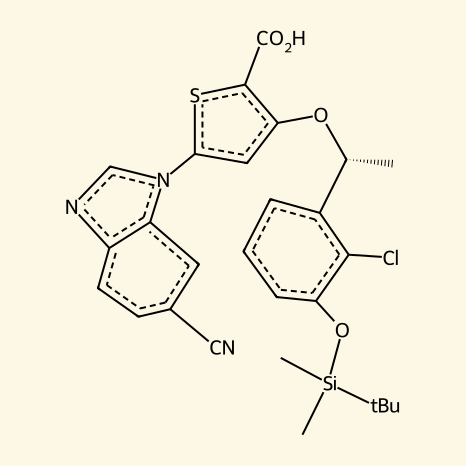 C[C@@H](Oc1cc(-n2cnc3ccc(C#N)cc32)sc1C(=O)O)c1cccc(O[Si](C)(C)C(C)(C)C)c1Cl